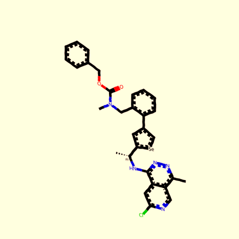 Cc1nnc(N[C@H](C)c2cc(-c3ccccc3CN(C)C(=O)OCc3ccccc3)c[se]2)c2cc(Cl)ncc12